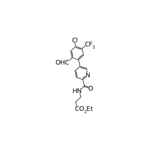 CCOC(=O)CCNC(=O)c1ccc(-c2cc(C(F)(F)F)c(Cl)cc2C=O)cn1